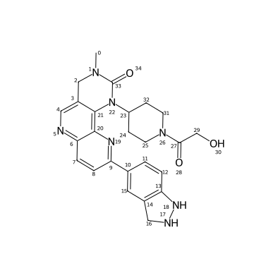 CN1Cc2cnc3ccc(-c4ccc5c(c4)CNN5)nc3c2N(C2CCN(C(=O)CO)CC2)C1=O